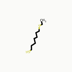 CCSCCCCCCCS